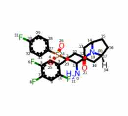 NC(Cc1cc(F)c(F)cc1F)C1CC2CC[C@H](C1)N2C(=O)CCS(=O)(=O)c1ccc(F)cc1